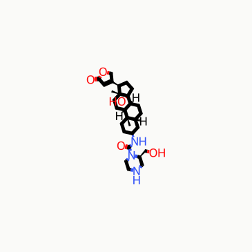 C[C@]12CC[C@H](NC(=O)N3CCNC[C@@H]3CO)C[C@H]1CC[C@@H]1[C@@H]2CC[C@]2(C)[C@@H](C3=CC(=O)OC3)CC[C@]12O